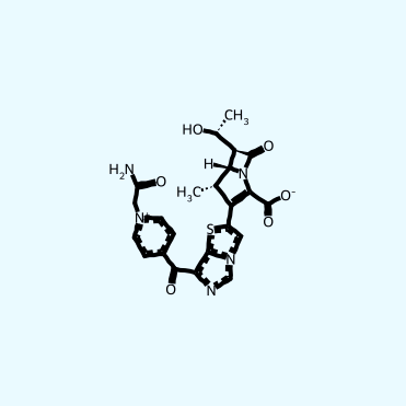 C[C@@H](O)[C@H]1C(=O)N2C(C(=O)[O-])=C(c3cn4cnc(C(=O)c5cc[n+](CC(N)=O)cc5)c4s3)[C@H](C)[C@H]12